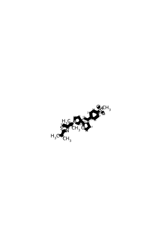 CC(C)c1nc(C(C)(C)N2CC[C@@](CCc3ccc(S(C)(=O)=O)cc3)([C@H]3CCCO3)C2)cs1